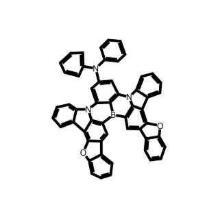 c1ccc(N(c2ccccc2)c2cc3c4c(c2)-n2c5ccccc5c5c6oc7ccccc7c6cc(c52)B4c2cc4c5ccccc5oc4c4c5ccccc5n-3c24)cc1